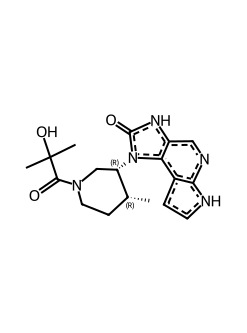 C[C@@H]1CCN(C(=O)C(C)(C)O)C[C@@H]1n1c(=O)[nH]c2cnc3[nH]ccc3c21